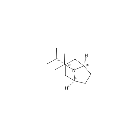 CC(C)[C@@H]1C[C@H]2CC[C@@H](C1)N2C(C)C